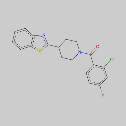 O=C(c1ccc(F)cc1Cl)N1CCC(c2nc3ccccc3s2)CC1